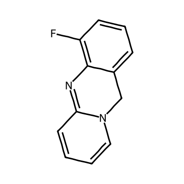 Fc1cccc2c1N=C1C=CC=CN1C2